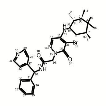 C[C@@H]1[C@@H](C)C(C)(C)[C@@H](C)C[C@H]1Nc1cnn(CC(=O)NC(c2ccccc2)c2ccncc2)c(=O)c1Br